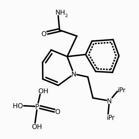 CC(C)N(CCN1C=CC=CC1(CC(N)=O)c1ccccc1)C(C)C.O=P(O)(O)O